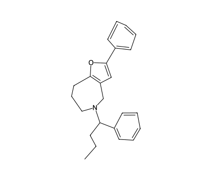 CCCC(c1ccccc1)N1CCCc2oc(-c3ccccc3)cc2C1